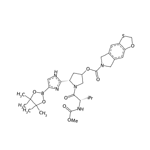 COC(=O)N[C@H](C(=O)N1CC(OC(=O)N2Cc3cc4c(cc3C2)SCO4)C[C@H]1c1nc(B2OC(C)(C)C(C)(C)O2)c[nH]1)C(C)C